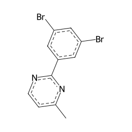 Cc1ccnc(-c2cc(Br)cc(Br)c2)n1